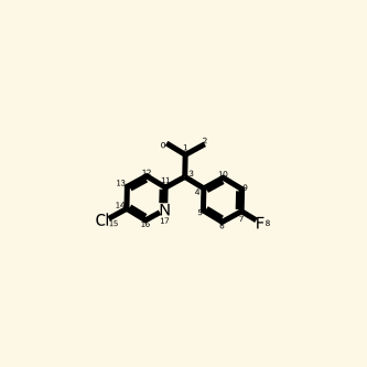 CC(C)C(c1ccc(F)cc1)c1ccc(Cl)cn1